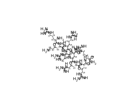 N=C(N)NCCC[C@H](NC(=O)[C@H](CCCNC(=N)N)NC(=O)[C@H](CCCNC(=N)N)NC(=O)[C@H](CCC(N)=O)NC(=O)[C@H](CCCNC(=N)N)NC(=O)[C@H](CCCNC(=N)N)NC(=O)[C@H](CCCCN)NC(=O)[C@@H](N)CCCNC(=N)N)C(N)=O